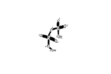 O=S(=O)(O)OS(=O)(=O)OO